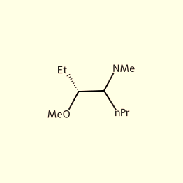 CCCC(NC)[C@@H](CC)OC